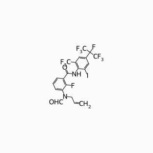 C=CCN(C=O)c1cccc(C(=O)Nc2c(I)cc(C(F)(C(F)(F)F)C(F)(F)F)cc2C(F)(F)F)c1F